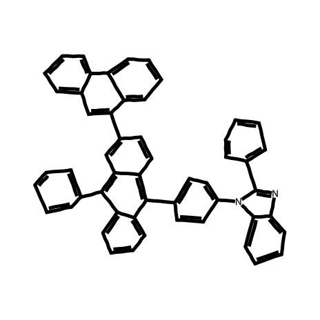 c1ccc(-c2c3ccccc3c(-c3ccc(-n4c(-c5ccccc5)nc5ccccc54)cc3)c3ccc(-c4cc5ccccc5c5ccccc45)cc23)cc1